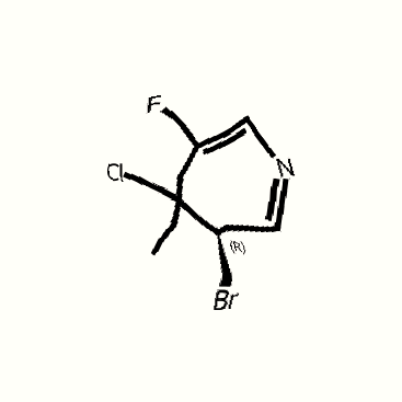 CC1(Cl)C(F)=CN=C[C@H]1Br